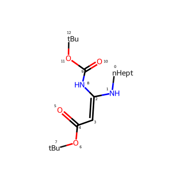 CCCCCCCN/C(=C/C(=O)OC(C)(C)C)NC(=O)OC(C)(C)C